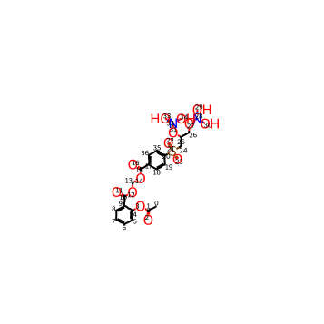 CC(=O)Oc1ccccc1C(=O)OCOC(=O)c1ccc(S(=O)(=O)CC(CON(O)O)ON(O)O)cc1